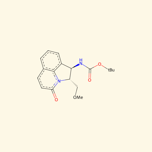 COC[C@H]1[C@H](NC(=O)OC(C)(C)C)c2cccc3ccc(=O)n1c23